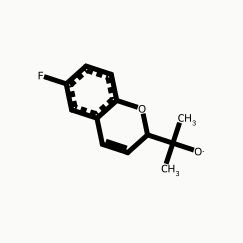 CC(C)([O])C1C=Cc2cc(F)ccc2O1